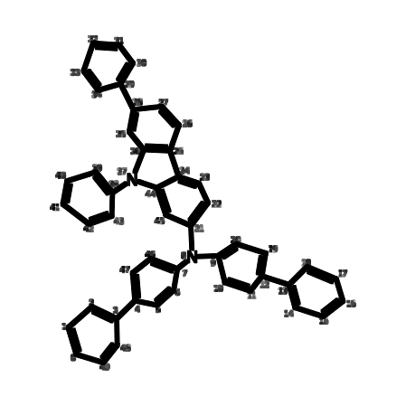 c1ccc(-c2ccc(N(c3ccc(-c4ccccc4)cc3)c3ccc4c5ccc(-c6ccccc6)cc5n(-c5ccccc5)c4c3)cc2)cc1